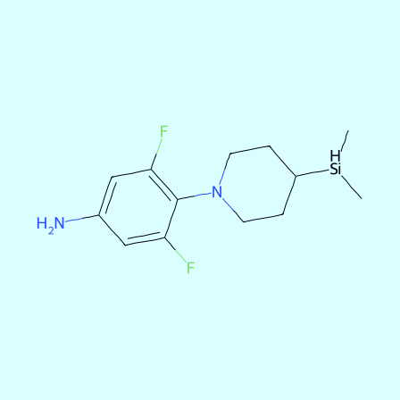 C[SiH](C)C1CCN(c2c(F)cc(N)cc2F)CC1